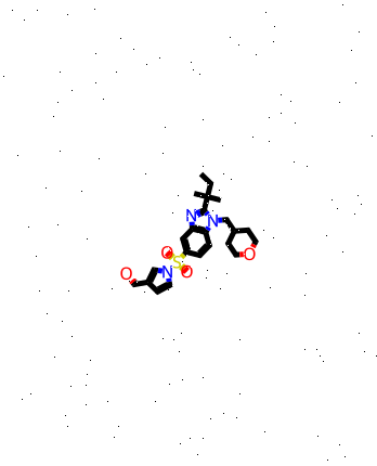 CCC(C)(C)c1nc2cc(S(=O)(=O)n3ccc(C=O)c3)ccc2n1CC1CCOCC1